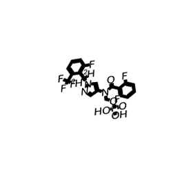 [2H]C([2H])(c1c(F)cccc1C(F)(F)F)n1cc(N(COP(=O)(O)O)C(=O)c2c(F)cccc2F)cn1